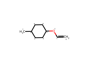 C=COC1CCC(C)CC1